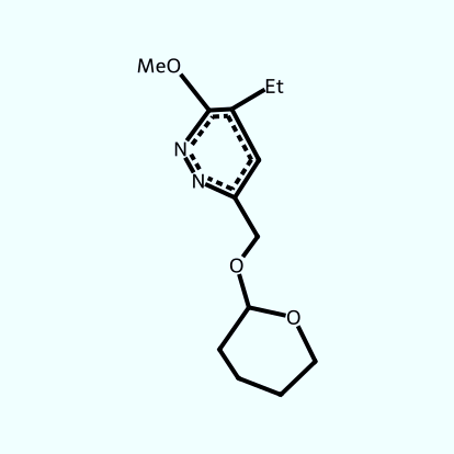 CCc1cc(COC2CCCCO2)nnc1OC